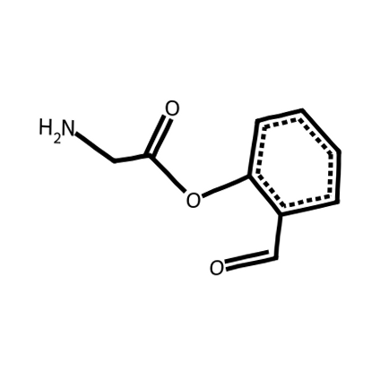 NCC(=O)Oc1ccccc1C=O